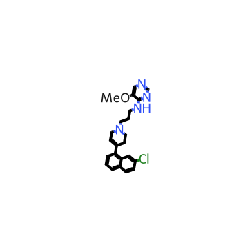 COc1cncnc1NCCCN1CC=C(c2cccc3ccc(Cl)cc23)CC1